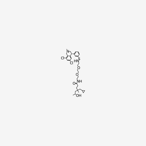 CC(O)CC(C)(CCC(=O)NCCOCCOCCNSc1cccc([C@@H]2CN(C)Cc3c(Cl)cc(Cl)cc32)c1)CC1CC1